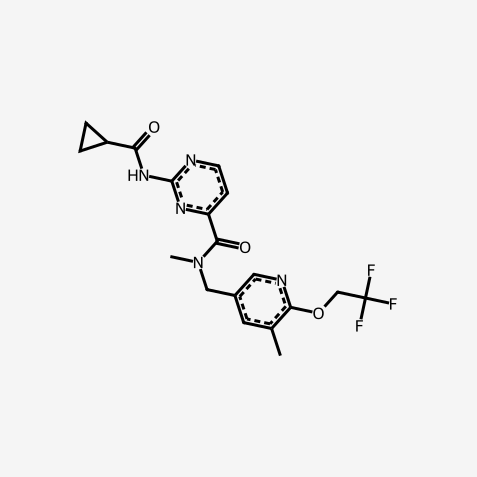 Cc1cc(CN(C)C(=O)c2ccnc(NC(=O)C3CC3)n2)cnc1OCC(F)(F)F